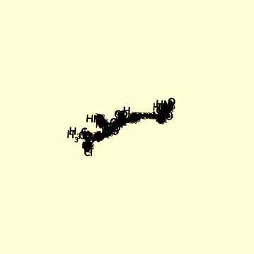 CC1(C)CCC(CN2CCN(c3ccc(C(=O)NS(=O)(=O)c4ccc(NCC5CCN(CCCCCCNc6cccc7c6C(=O)N(C6CCC(=O)NC6=O)C7=O)CC5)c([N+](=O)[O-])c4)c(Oc4cnc5[nH]ccc5c4)c3)CC2)=C(c2ccc(Cl)cc2)C1